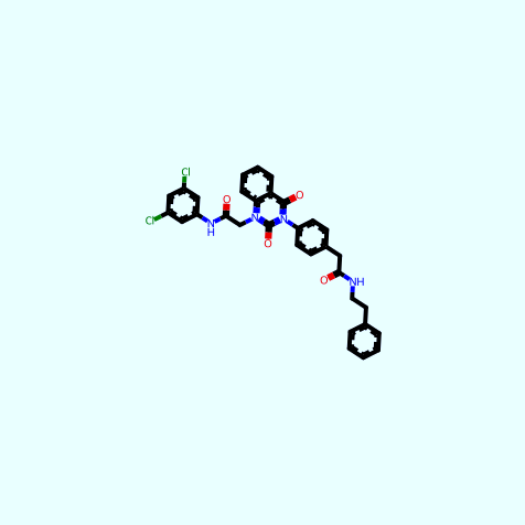 O=C(Cc1ccc(-n2c(=O)c3ccccc3n(CC(=O)Nc3cc(Cl)cc(Cl)c3)c2=O)cc1)NCCc1ccccc1